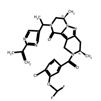 C=C(C)c1ncc(C(C)N2C[C@@H](C)n3nc4c(c3C2=O)CN(C(=O)c2ccc(Cl)c(OC(F)F)c2)[C@H](C)C4)cn1